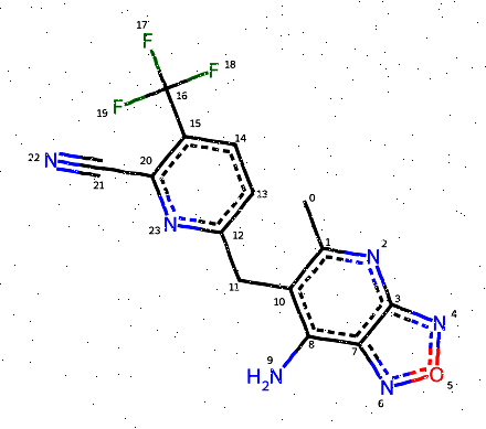 Cc1nc2nonc2c(N)c1Cc1ccc(C(F)(F)F)c(C#N)n1